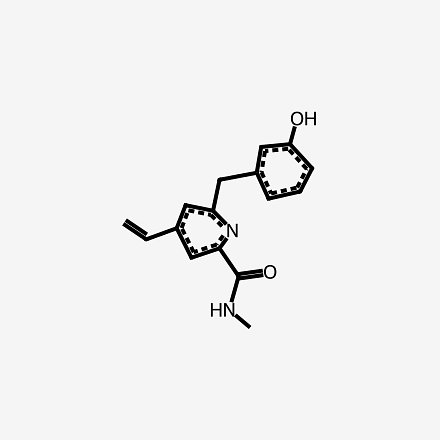 C=Cc1cc(Cc2cccc(O)c2)nc(C(=O)NC)c1